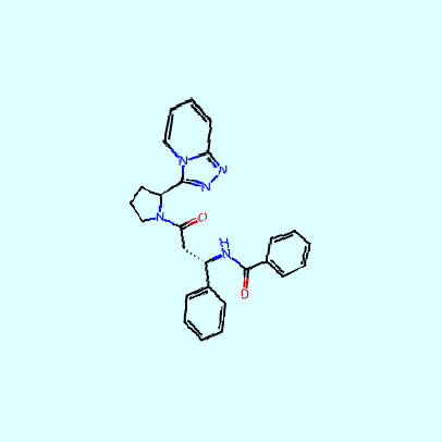 O=C(N[C@@H](CC(=O)N1CCC[C@H]1c1nnc2ccccn12)c1ccccc1)c1ccccc1